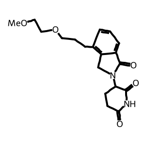 COCCOCCCc1cccc2c1CN(C1CCC(=O)NC1=O)C2=O